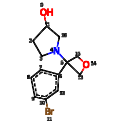 OC1CCN(C2(c3cccc(Br)c3)COC2)C1